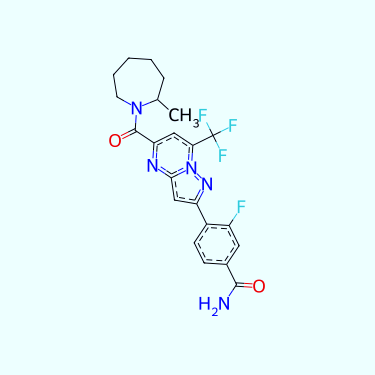 CC1CCCCCN1C(=O)c1cc(C(F)(F)F)n2nc(-c3ccc(C(N)=O)cc3F)cc2n1